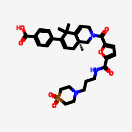 CC1(C)C(c2ccc(C(=O)O)cc2)=CC[C@]2(C)CN(C(=O)c3ccc(C(=O)NCCCN4CCS(=O)(=O)CC4)o3)CC=C12